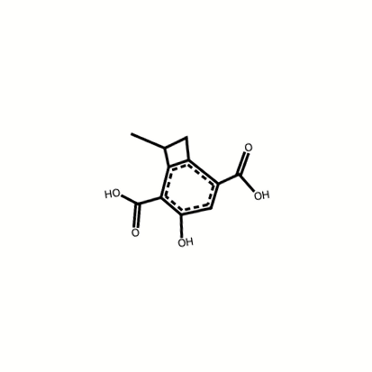 CC1Cc2c(C(=O)O)cc(O)c(C(=O)O)c21